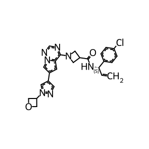 C=C[C@H](NC(=O)C1CN(c2ncnn3cc(-c4cnn(C5COC5)c4)cc23)C1)c1ccc(Cl)cc1